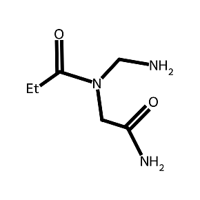 CCC(=O)N(CN)CC(N)=O